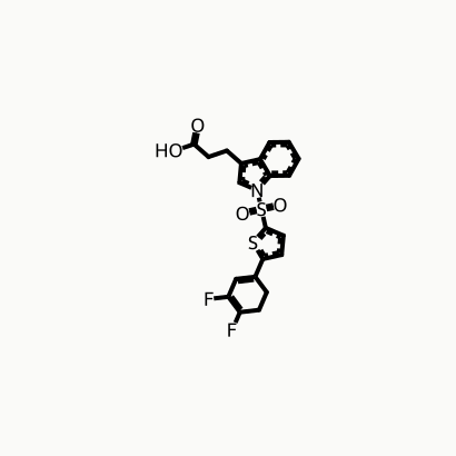 O=C(O)CCc1cn(S(=O)(=O)c2ccc(C3=CC(F)=C(F)CC3)s2)c2ccccc12